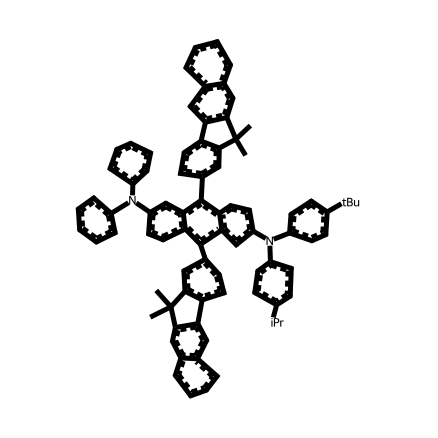 CC(C)c1ccc(N(c2ccc(C(C)(C)C)cc2)c2ccc3c(-c4ccc5c(c4)C(C)(C)c4cc6ccccc6cc4-5)c4cc(N(c5ccccc5)c5ccccc5)ccc4c(-c4ccc5c(c4)C(C)(C)c4cc6ccccc6cc4-5)c3c2)cc1